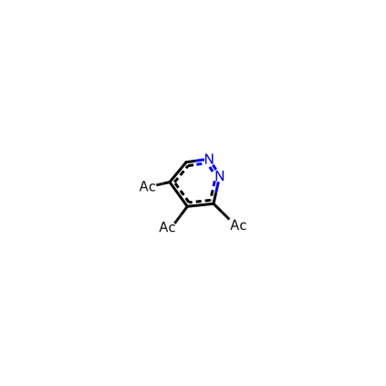 CC(=O)c1cnnc(C(C)=O)c1C(C)=O